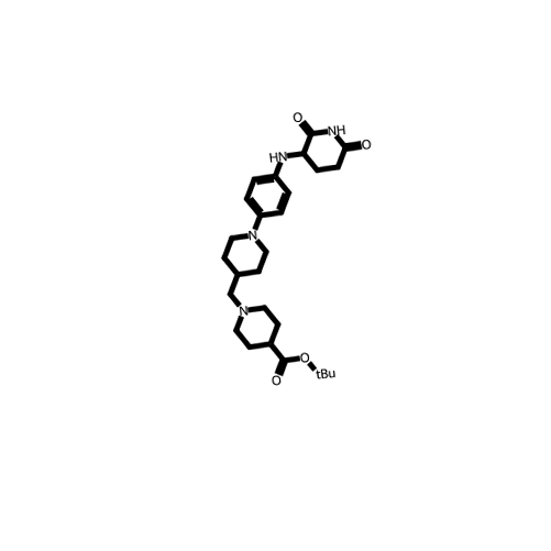 CC(C)(C)OC(=O)C1CCN(CC2CCN(c3ccc(NC4CCC(=O)NC4=O)cc3)CC2)CC1